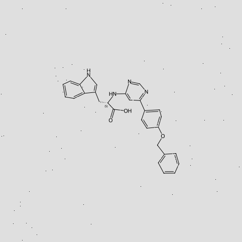 O=C(O)[C@H](Cc1c[nH]c2ccccc12)Nc1cc(-c2ccc(OCc3ccccc3)cc2)ncn1